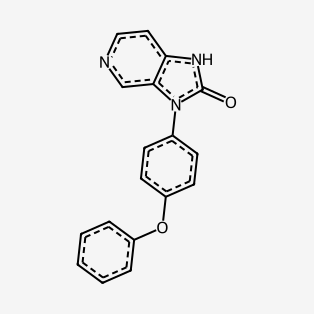 O=c1[nH]c2ccncc2n1-c1ccc(Oc2ccccc2)cc1